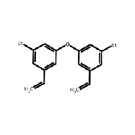 C=Cc1cc(CC)cc(Oc2cc(C=C)cc(CC)c2)c1